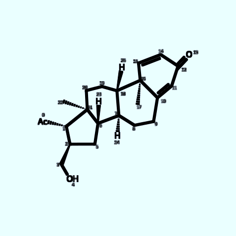 CC(=O)[C@H]1[C@H](CO)C[C@H]2[C@@H]3CCC4=CC(=O)C=C[C@]4(C)[C@H]3CC[C@@]21C